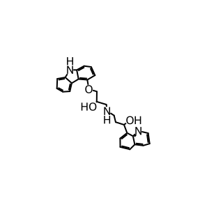 OC(CNCCC(O)c1cccc2cccnc12)COc1cccc2[nH]c3ccccc3c12